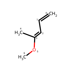 C=C/C=C(\C)OC